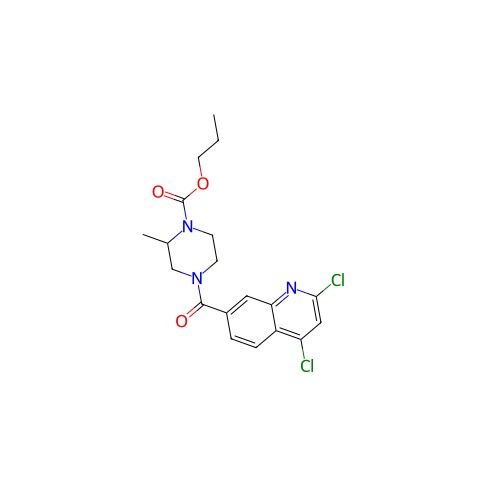 CCCOC(=O)N1CCN(C(=O)c2ccc3c(Cl)cc(Cl)nc3c2)CC1C